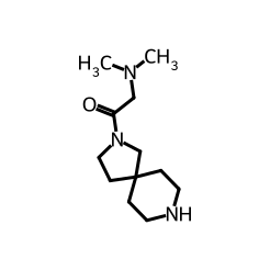 CN(C)CC(=O)N1CCC2(CCNCC2)C1